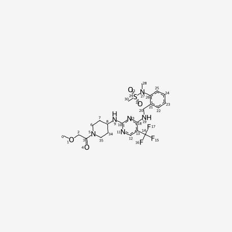 COCC(=O)N1CCC(Nc2ncc(C(F)(F)F)c(NCc3ccccc3N(C)S(C)(=O)=O)n2)CC1